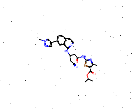 Cc1nc(NC(=O)CC(CC#N)Nc2nccc3ccc(-c4cnn(C)c4)cc23)sc1C(=O)OC(C)C